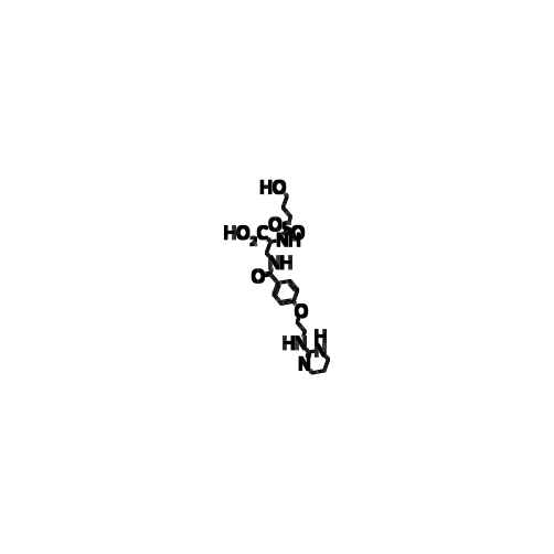 O=C(NC[C@H](NS(=O)(=O)CCCO)C(=O)O)c1ccc(OCCNC2=NCCCN2)cc1